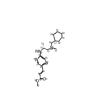 COC(=O)/C=C/c1cnc(N[C@H](C)CN(C)CC2CCCCC2)cn1